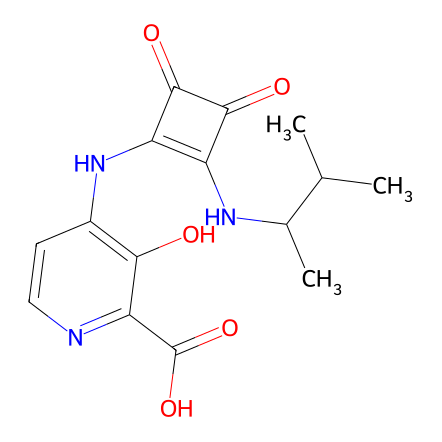 CC(C)C(C)Nc1c(Nc2ccnc(C(=O)O)c2O)c(=O)c1=O